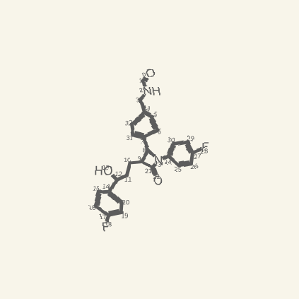 O=CNCc1ccc(C2C(CCC(O)c3ccc(F)cc3)C(=O)N2c2ccc(F)cc2)cc1